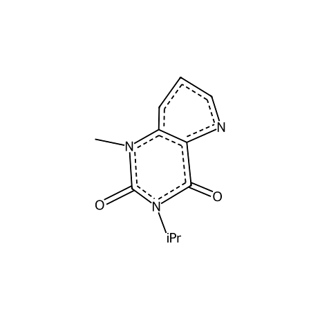 CC(C)n1c(=O)c2ncccc2n(C)c1=O